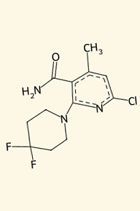 Cc1cc(Cl)nc(N2CCC(F)(F)CC2)c1C(N)=O